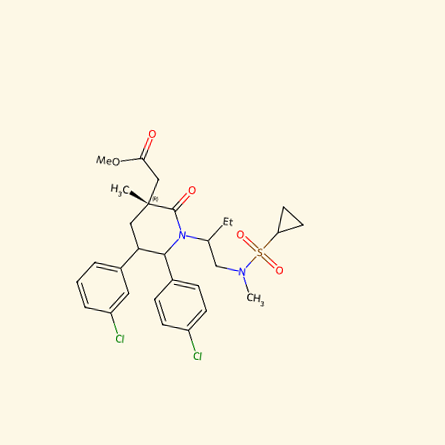 CCC(CN(C)S(=O)(=O)C1CC1)N1C(=O)[C@@](C)(CC(=O)OC)CC(c2cccc(Cl)c2)C1c1ccc(Cl)cc1